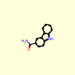 NC(=O)c1ccc2[nH]c3ccccc3c2c1